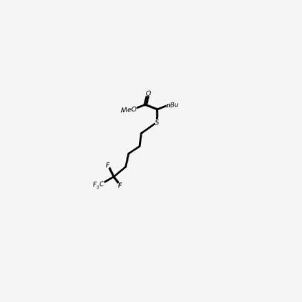 CCCCC(SCCCCC(F)(F)C(F)(F)F)C(=O)OC